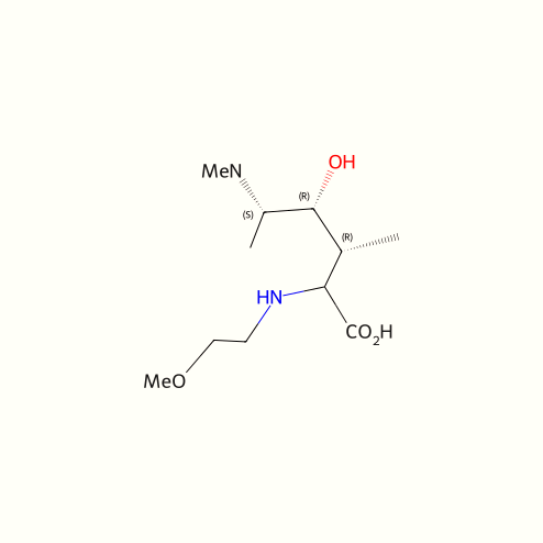 CN[C@@H](C)[C@H](O)[C@H](C)C(NCCOC)C(=O)O